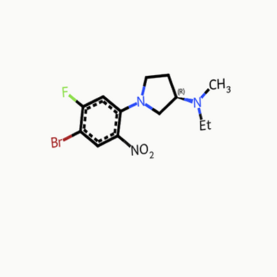 CCN(C)[C@@H]1CCN(c2cc(F)c(Br)cc2[N+](=O)[O-])C1